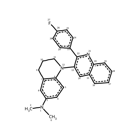 CN(C)c1ccc2c(c1)CCCN2c1cc2ccccc2nc1-c1ccc(F)cc1